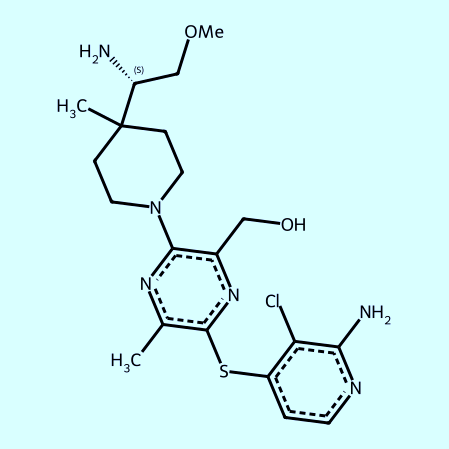 COC[C@@H](N)C1(C)CCN(c2nc(C)c(Sc3ccnc(N)c3Cl)nc2CO)CC1